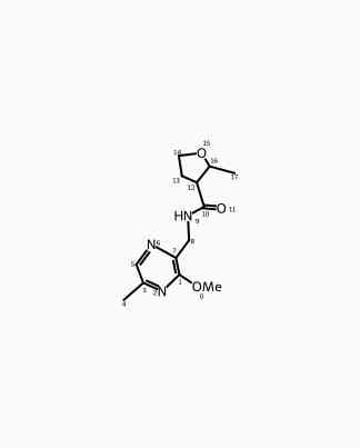 COc1nc(C)cnc1CNC(=O)C1CCOC1C